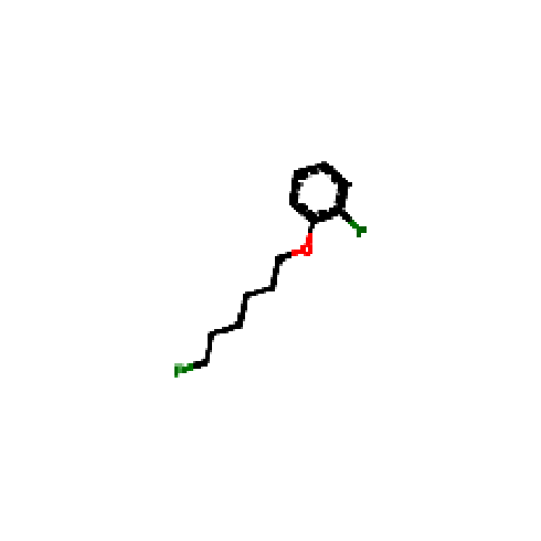 FCCCCCCOc1ccc[c]c1F